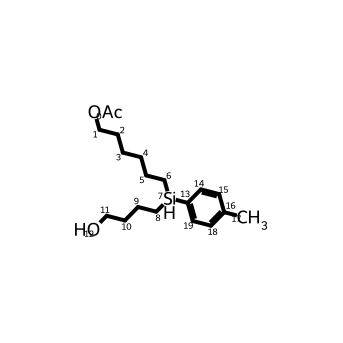 CC(=O)OCCCCCC[SiH](CCCCO)c1ccc(C)cc1